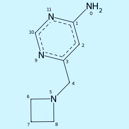 Nc1cc(CN2CCC2)ncn1